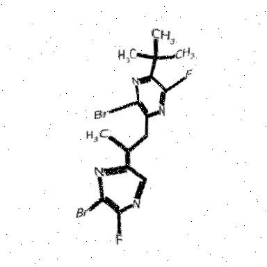 CC(Cc1nc(F)c(C(C)(C)C)nc1Br)c1cnc(F)c(Br)n1